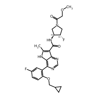 COCC(=O)N1C[C@H](NC(=O)c2c(C)[nH]c3c(-c4cc(F)ccc4OCC4CC4)ncnc23)[C@@H](F)C1